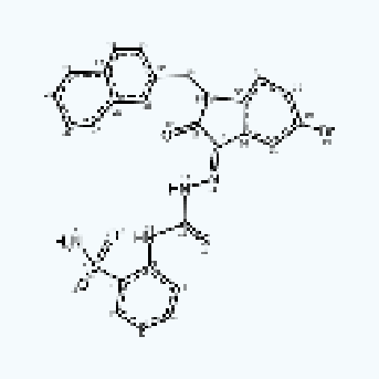 NS(=O)(=O)c1ccccc1NC(=S)NN=C1C(=O)N(Cc2ccc3ccccc3c2)c2ccc(Br)cc21